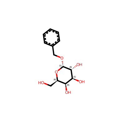 OC[C@H]1O[C@H](OCc2ccccc2)[C@H](O)[C@@H](O)[C@H]1O